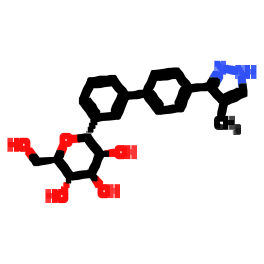 Cc1c[nH]nc1-c1ccc(-c2cccc([C@H]3O[C@H](CO)[C@@H](O)[C@H](O)[C@@H]3O)c2)cc1